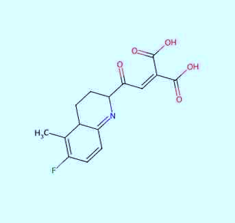 CC1=C(F)C=CC2=NC(C(=O)C=C(C(=O)O)C(=O)O)CCC21